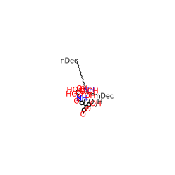 CCCCCCCCCCCCCCCCCCCCCCCCCC(=O)N[C@@H](COC1OC(CNC(=O)c2ccc(-c3c4ccc(=O)cc-4oc4cc(O)ccc34)c(C(=O)O)c2)C(O)C(O)C1O)[C@H](O)[C@H](O)CCCCCCCCCCCCCC